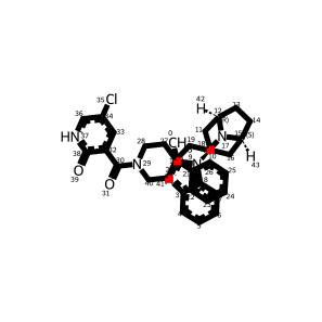 Cc1nc2ccccc2n1[C@H]1C[C@H]2CC[C@@H](C1)N2CCC1(c2ccccc2)CCN(C(=O)c2cc(Cl)c[nH]c2=O)CC1